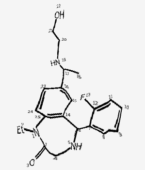 CCN1C(=O)CNC(c2ccccc2F)c2cc(C(C)NCCO)ccc21